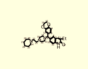 CCc1cc2cc(C(c3ccc4c(c3)OCCO4)N3CCN(CCN4CCCCCC4)CC3)ccc2[nH]c1=O